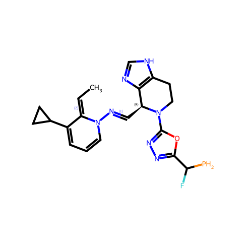 C/C=C1/C(C2CC2)=CC=CN1/N=C/[C@H]1c2nc[nH]c2CCN1c1nnc(C(F)P)o1